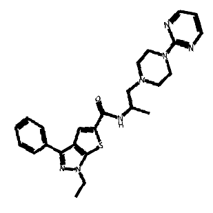 CCn1nc(-c2ccccc2)c2cc(C(=O)NC(C)CN3CCN(c4ncccn4)CC3)sc21